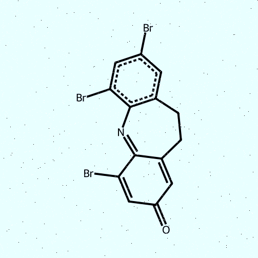 O=C1C=C(Br)C2=Nc3c(Br)cc(Br)cc3CCC2=C1